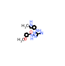 COc1cccc(C(=O)Nc2ncc(C#N)c(Nc3ccc4[nH]c(C)cc4c3)n2)c1